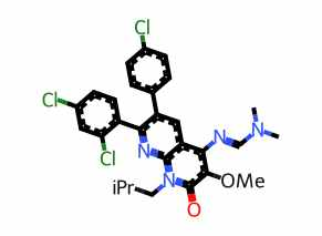 COc1c(N=CN(C)C)c2cc(-c3ccc(Cl)cc3)c(-c3ccc(Cl)cc3Cl)nc2n(CC(C)C)c1=O